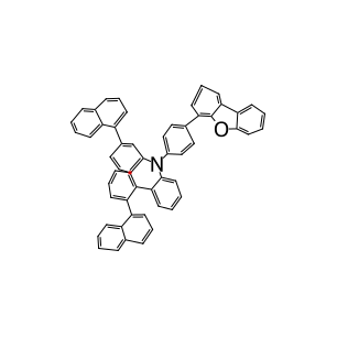 c1cc(-c2cccc3ccccc23)cc(N(c2ccc(-c3cccc4c3oc3ccccc34)cc2)c2ccccc2-c2ccccc2-c2cccc3ccccc23)c1